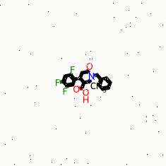 CC1C(C(=O)O)C(c2cc(F)c(F)cc2F)CC(=O)N1Cc1ccccc1